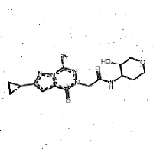 CC(C)c1nn(CC(=O)N[C@@H]2CCOC[C@@H]2O)c(=O)c2cc(C3CC3)nn12